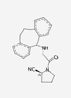 N#C[C@@H]1CCCN1C(=O)CNC1c2ccccc2CCc2ccccc21